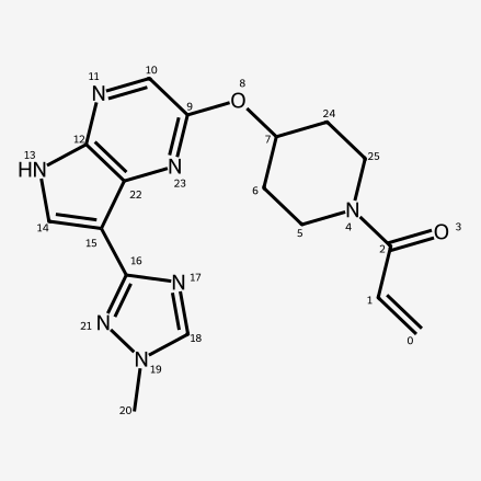 C=CC(=O)N1CCC(Oc2cnc3[nH]cc(-c4ncn(C)n4)c3n2)CC1